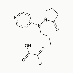 CCCN(c1ccncc1)N1CCCC1=O.O=C(O)C(=O)O